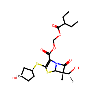 CCC(CC)C(=O)OCOC(=O)C1=C(S[C@H]2CC[Si@@H](O)C2)SC2N1C(=O)[C@]2(C)[C@@H](C)O